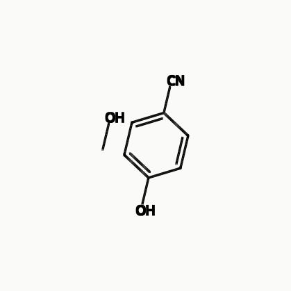 CO.N#Cc1ccc(O)cc1